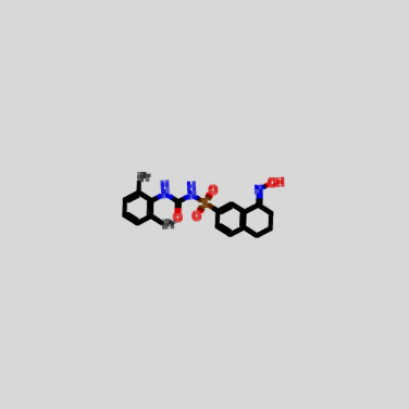 CC(C)c1cccc(C(C)C)c1NC(=O)NS(=O)(=O)c1ccc2c(c1)C(=NO)CCC2